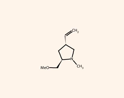 C=C[C@H]1C[C@H](COC)N(C)C1